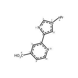 CCCn1cnc(-c2cc(C(=O)O)ccn2)c1